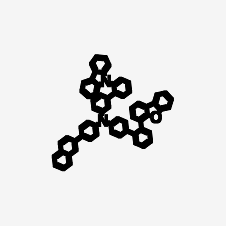 c1cc(-c2ccccc2-n2c3ccccc3c3ccccc32)cc(N(c2ccc(-c3ccc4ccccc4c3)cc2)c2ccc(-c3ccccc3-c3cccc4c3oc3ccccc34)cc2)c1